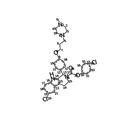 CN1CCN(CCCOc2ccc(C3c4[nH]c5ccc(Cl)cc5c4CCN3C(=O)Oc3ccc(Cl)cc3)cc2)CC1